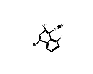 N#[N+]c1c([O-])cc(Br)c2cccc(F)c12